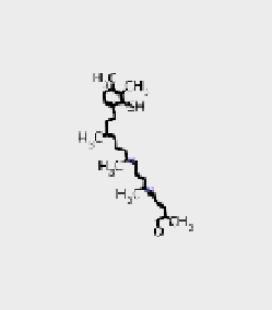 CC1=C(C)C(S)C(CCC(C)CCC/C(C)=C/CC/C(C)=C/CCC(C)C=O)=CC1